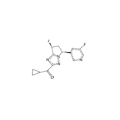 O=C(c1nc2n(n1)[C@H](c1cncc(F)c1)C[C@@H]2F)C1CC1